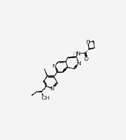 CC[C@H](O)c1cc(C)c(-c2cc3cnc(NC(=O)[C@H]4CCO4)cc3cn2)cn1